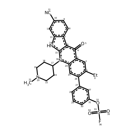 CCc1cc2c(=O)c3c4ccc(C#N)cc4[nH]c3n(C3CCN(C)CC3)c2cc1-c1cccc(OS(=O)(=O)F)c1